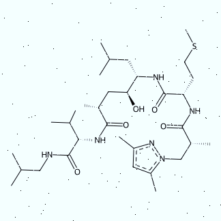 CSCC[C@H](NC(=O)[C@H](C)Cn1nc(C)cc1C)C(=O)N[C@@H](CC(C)C)[C@@H](O)C[C@@H](C)C(=O)N[C@H](C(=O)NCC(C)C)C(C)C